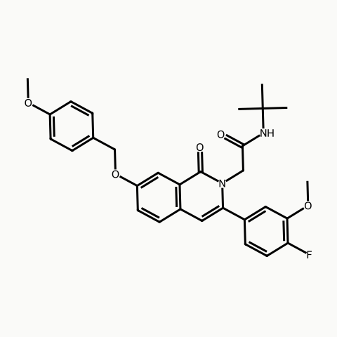 COc1ccc(COc2ccc3cc(-c4ccc(F)c(OC)c4)n(CC(=O)NC(C)(C)C)c(=O)c3c2)cc1